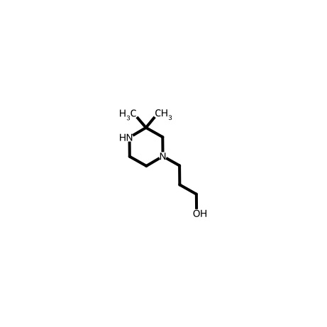 CC1(C)CN(CCCO)CCN1